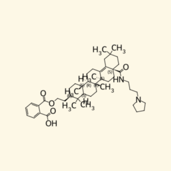 CC1(C)CC[C@]2(C(=O)NCCCN3CCCC3)CC[C@]3(C)C(=C2C1)CC[C@@H]1[C@@]2(C)CC[C@H](CCOC(=O)c4ccccc4C(=O)O)C(C)(C)[C@@H]2CC[C@]13C